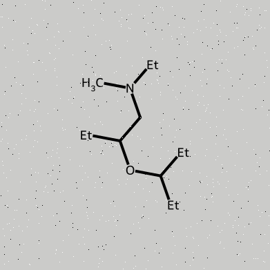 CCC(CC)OC(CC)CN(C)CC